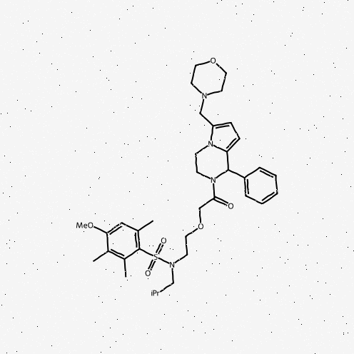 COc1cc(C)c(S(=O)(=O)N(CCOCC(=O)N2CCn3c(CN4CCOCC4)ccc3C2c2ccccc2)CC(C)C)c(C)c1C